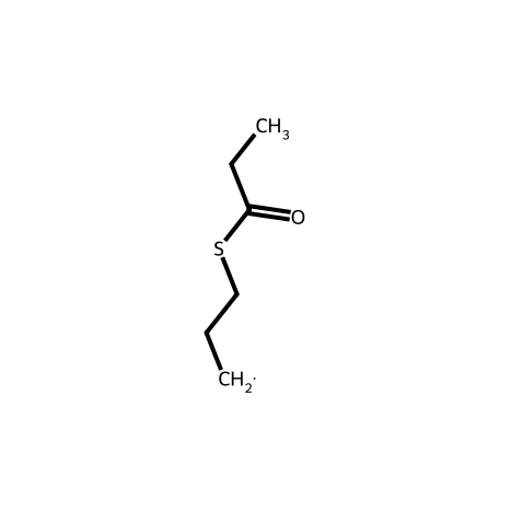 [CH2]CCSC(=O)CC